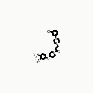 O=C(CCN1CCN(c2cccc(Cl)c2)CC1)N1CCC(Oc2ccc([N+](=O)[O-])c(C(F)(F)F)c2)CC1